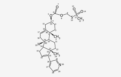 C[C@]12CC[C@H](OC(=O)OCSS(C)(=O)=O)CC1=CC[C@@H]1C2CC[C@]2(C)C(c3cccnc3)=CCC12